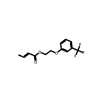 C/C=C/C(=O)OCCOc1cccc(C(F)(F)F)c1